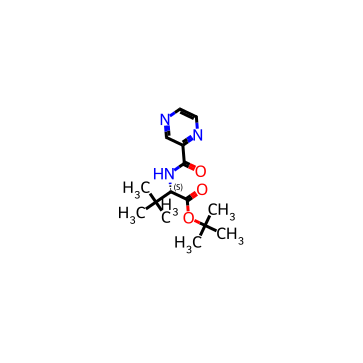 CC(C)(C)OC(=O)[C@@H](NC(=O)c1cnccn1)C(C)(C)C